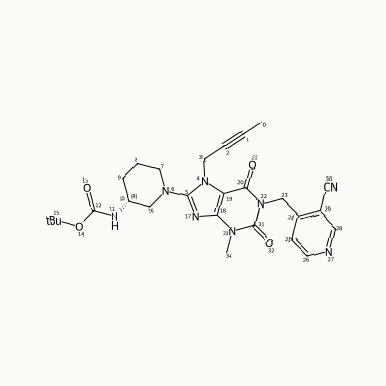 CC#CCn1c(N2CCC[C@@H](NC(=O)OC(C)(C)C)C2)nc2c1c(=O)n(Cc1ccncc1C#N)c(=O)n2C